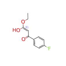 CCO/C(O)=C/C(=O)c1ccc(F)cc1